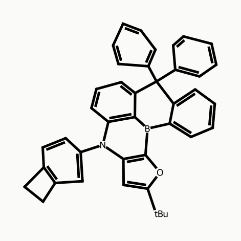 CC(C)(C)c1cc2c(o1)B1c3ccccc3C(c3ccccc3)(c3ccccc3)c3cccc(c31)N2c1ccc2c(c1)CC2